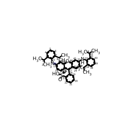 CC(C)c1cccc(C(C)C)c1/N=c1/ccc2c(-c3ccccc3S(=O)(=O)O)c3ccc(Nc4c(C(C)C)cccc4C(C)C)cc3oc-2c1